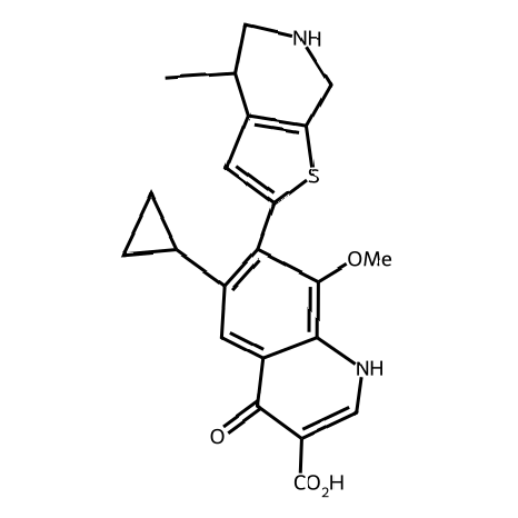 COc1c(-c2cc3c(s2)CNCC3C)c(C2CC2)cc2c(=O)c(C(=O)O)c[nH]c12